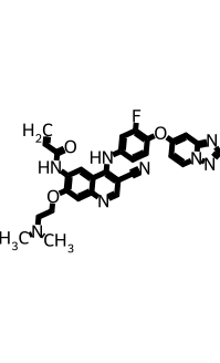 C=CC(=O)Nc1cc2c(Nc3ccc(Oc4ccn5ncnc5c4)c(F)c3)c(C#N)cnc2cc1OCCN(C)C